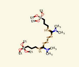 CCO[Si](CCC[SH]=C(SSSSC(=[SH]CCC[Si](OCC)(OCC)OCC)N(C)C)N(C)C)(OCC)OCC